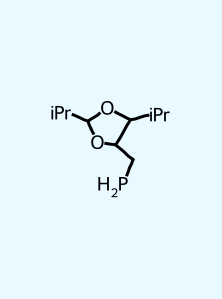 CC(C)C1OC(CP)C(C(C)C)O1